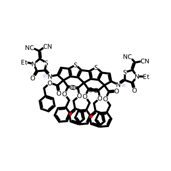 CCN1C(=O)/C(=N/C2=Cc3sc4c(c3C2(C(=O)OCc2ccccc2)C(=O)OCc2ccccc2)C(C(=O)OCc2ccccc2)(C(=O)OCc2ccccc2)c2c-4sc3c2C(C(=O)OCc2ccccc2)(C(=O)OCc2ccccc2)C(/N=C2\SC(=C(C#N)C#N)N(CC)C2=O)=C3)SC1=C(C#N)C#N